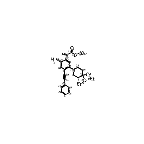 CCOC1(OCC)CCN(c2cc(NC(=O)OC(C)(C)C)c(N)cc2C#Cc2ccccc2)CC1